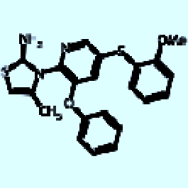 COc1ccccc1Sc1cnc(N2C(C)=CSC2N)c(Oc2ccccc2)c1